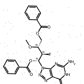 CO[C@H](COC(=O)c1ccccc1)[C@@H](F)[C@@H](OC(=O)c1ccccc1)n1nnc2c(=O)[nH]c(N)nc21